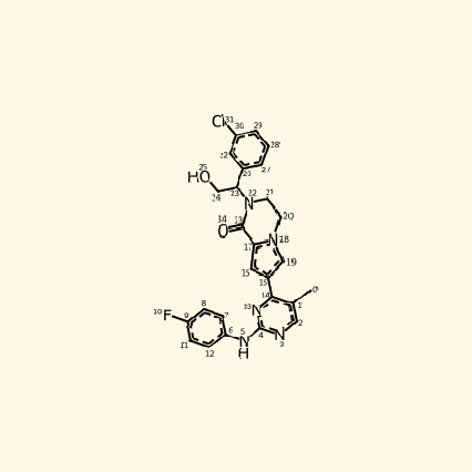 Cc1cnc(Nc2ccc(F)cc2)nc1-c1cc2n(c1)CCN(C(CO)c1cccc(Cl)c1)C2=O